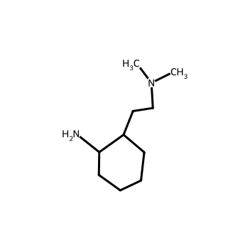 CN(C)CCC1CCCCC1N